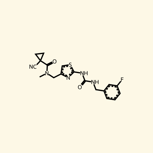 CN(Cc1csc(NC(=O)NCc2cccc(F)c2)n1)C(=O)C1(C#N)CC1